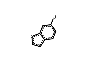 Clc1ccc2ccsc2c1